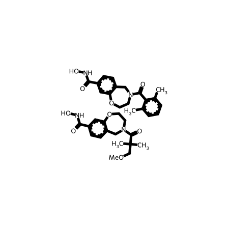 COCC(C)(C)C(=O)N1CCOc2cc(C(=O)NO)ccc2C1.Cc1cccc(C)c1C(=O)N1CCOc2cc(C(=O)NO)ccc2C1